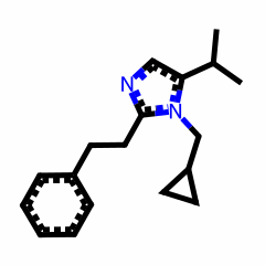 CC(C)c1cnc(CCc2ccccc2)n1CC1CC1